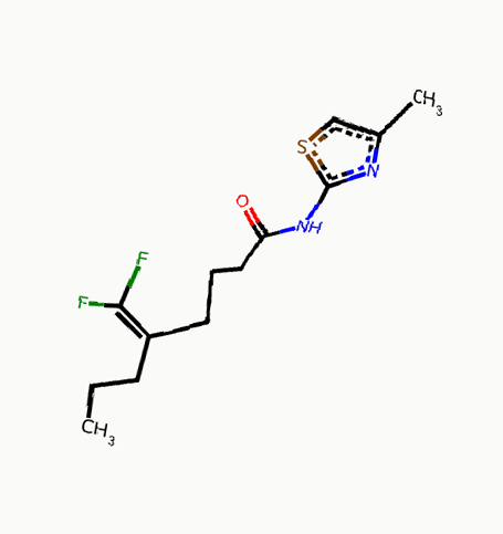 CCCC(CCCC(=O)Nc1nc(C)cs1)=C(F)F